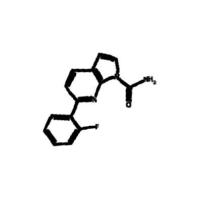 NC(=O)n1ccc2ccc(-c3ccccc3F)nc21